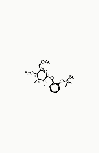 CC(=O)OC[C@H]1O[C@@H](Oc2ccccc2O[Si](C)(C)C(C)(C)C)[C@H](C)[C@@H](C)[C@H]1OC(C)=O